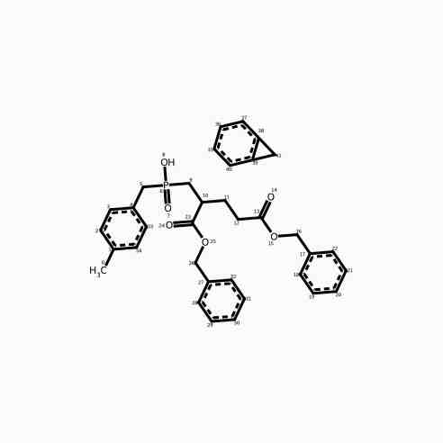 Cc1ccc(CP(=O)(O)CC(CCC(=O)OCc2ccccc2)C(=O)OCc2ccccc2)cc1.c1ccc2c(c1)C2